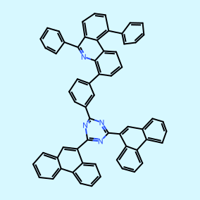 c1ccc(-c2nc3c(-c4cccc(-c5nc(-c6cc7ccccc7c7ccccc67)nc(-c6cc7ccccc7c7ccccc67)n5)c4)cccc3c3c(-c4ccccc4)cccc23)cc1